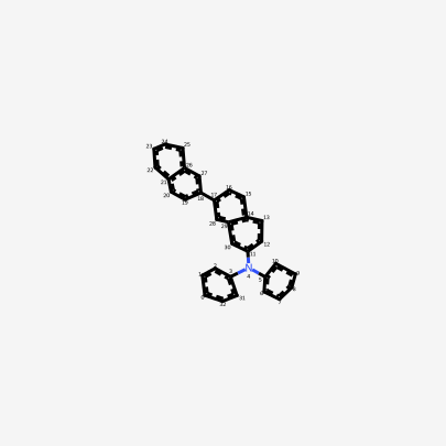 c1ccc(N(c2ccccc2)c2ccc3ccc(-c4ccc5ccccc5c4)cc3c2)cc1